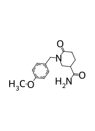 COc1ccc(CN2CC(C(N)=O)CCC2=O)cc1